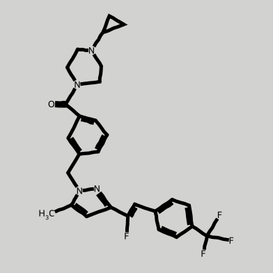 Cc1cc(/C(F)=C/c2ccc(C(F)(F)F)cc2)nn1Cc1cccc(C(=O)N2CCN(C3CC3)CC2)c1